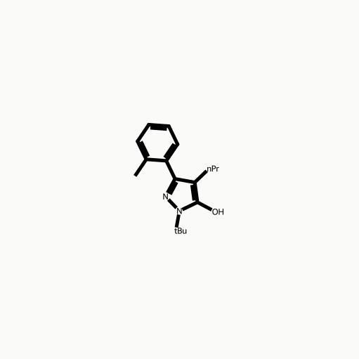 CCCc1c(-c2ccccc2C)nn(C(C)(C)C)c1O